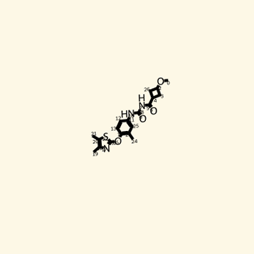 COC1CC(C(=O)NC(=O)Nc2ccc(Oc3nc(C)c(C)s3)c(C)c2)C1